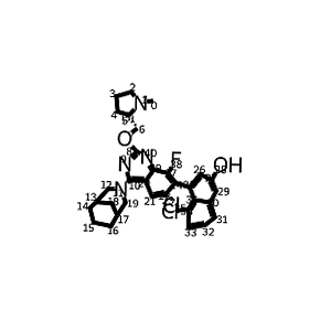 CN1CCC[C@H]1COc1nc(N2CC3CCCC(C3)C2)c2cc(Cl)c(-c3cc(O)cc4cccc(Cl)c34)c(F)c2n1